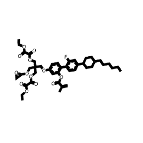 C=C(C)C(=O)Oc1cc(OCC(COC(=O)C(=O)OCC)(COC(=O)C(=O)OCC)COC2CO2)ccc1-c1ccc(C2CCC(CCCCCC)CC2)cc1F